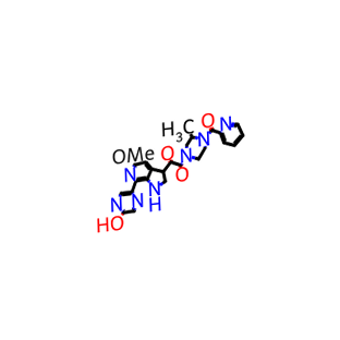 COc1cnc(-c2cnc(O)cn2)c2c1C(C(=O)C(=O)N1CCN(C(=O)c3ccccn3)C(C)C1)CN2